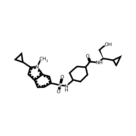 Cn1c(C2CC2)cc2ccc(S(=O)(=O)NC3CCC(C(=O)N[C@@H](CO)C4CC4)CC3)cc21